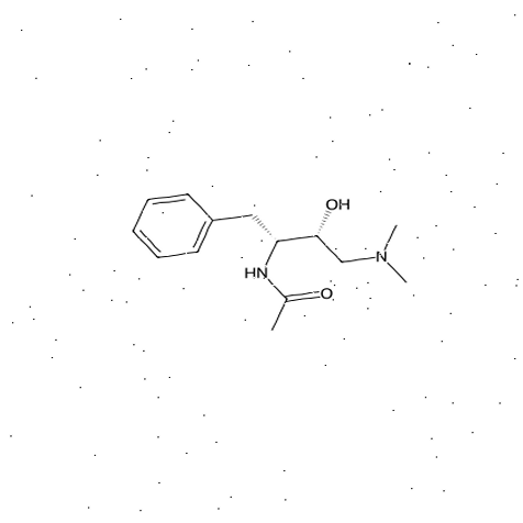 CC(=O)N[C@H](Cc1ccccc1)[C@H](O)CN(C)C